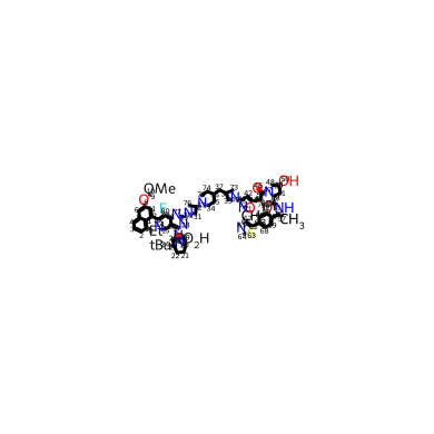 CCc1cccc2cc(OCOC)cc(-c3ncc4c(N5CC6CCC(C(C)(C)C)(C5)N6C(=O)O)nc(N5CC(N6CCC(CC7CN(c8cc([C@H](C(=O)N9C[C@H](O)C[C@H]9C(=O)N[C@@H](C)c9ccc(-c%10scnc%10C)cc9)C(C)C)on8)C7)CC6)C5)nc4c3F)c12